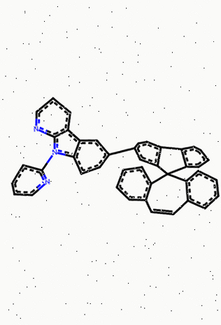 C1=Cc2ccccc2C2(c3ccccc31)c1ccccc1-c1ccc(-c3ccc4c(c3)c3cccnc3n4-c3ccccn3)cc12